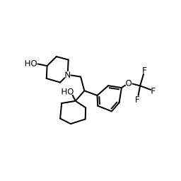 OC1CCN(CC(c2cccc(OC(F)(F)F)c2)C2(O)CCCCC2)CC1